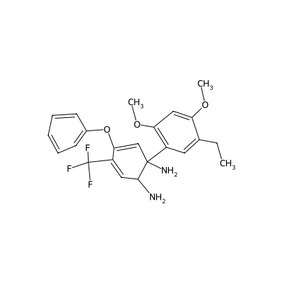 CCc1cc(C2(N)C=C(Oc3ccccc3)C(C(F)(F)F)=CC2N)c(OC)cc1OC